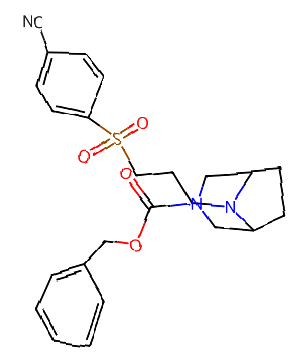 N#Cc1ccc(S(=O)(=O)CCCN2C3CCC2CN(C(=O)OCc2ccccc2)C3)cc1